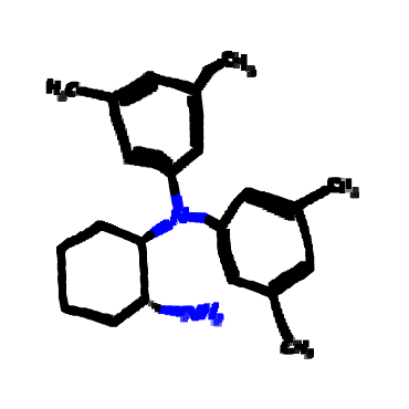 Cc1cc(C)cc(N(c2cc(C)cc(C)c2)[C@@H]2CCCC[C@H]2N)c1